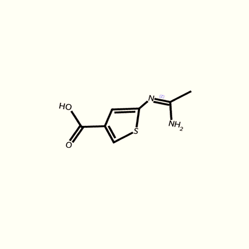 C/C(N)=N/c1cc(C(=O)O)cs1